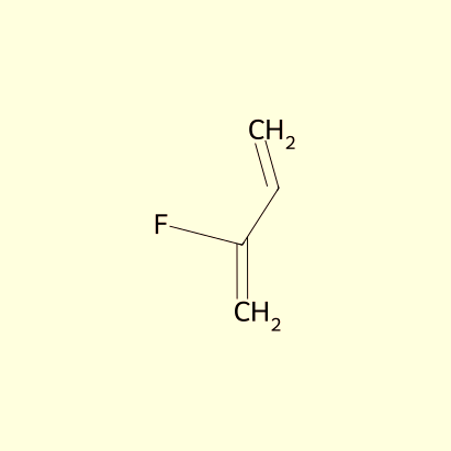 C=CC(=C)F